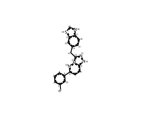 Fc1cccc(-c2ccc3nnc(Cc4ccc5ncsc5c4)n3n2)c1